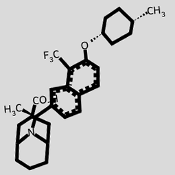 C[C@@H](c1ccc2ccc(O[C@H]3CC[C@@H](C)CC3)c(C(F)(F)F)c2c1)N1C2CCCC1CC(C(=O)O)C2